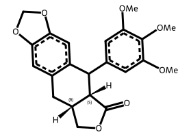 COc1cc(C2c3cc4c(cc3C[C@H]3COC(=O)[C@@H]23)OCO4)cc(OC)c1OC